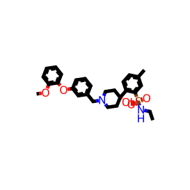 CCNS(=O)(=O)c1cc(C)ccc1C1(O)CCN(Cc2cccc(Oc3ccccc3OC)c2)CC1